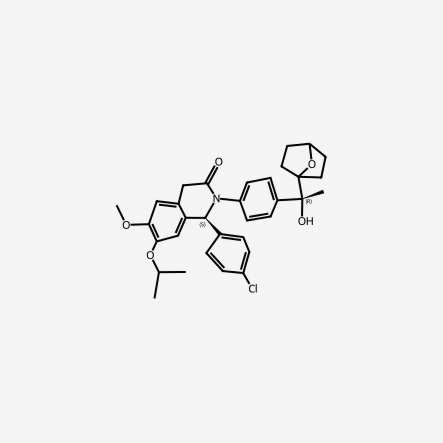 COc1cc2c(cc1OC(C)C)[C@H](c1ccc(Cl)cc1)N(c1ccc([C@@](C)(O)C34CCC(CC3)O4)cc1)C(=O)C2